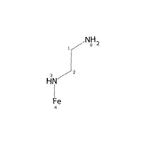 NCC[NH][Fe]